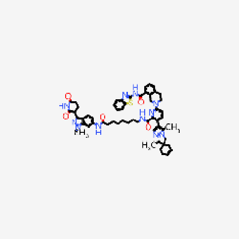 CCC1(Cn2ncc(-c3ccc(N4CCc5cccc(C(=O)Nc6nc7ccccc7s6)c5C4)nc3C(=O)NCCCCCCCC(=O)Nc3ccc4c(C5CCC(=O)NC5=O)nn(C)c4c3)c2C)CC=CCC1